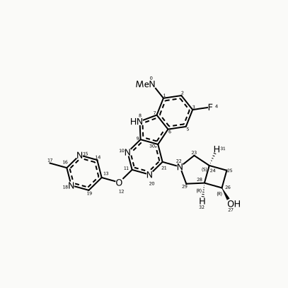 CNc1cc(F)cc2c1[nH]c1nc(Oc3cnc(C)nc3)nc(N3C[C@H]4C[C@@H](O)[C@H]4C3)c12